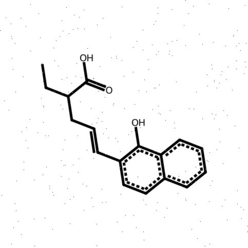 CCC(CC=Cc1ccc2ccccc2c1O)C(=O)O